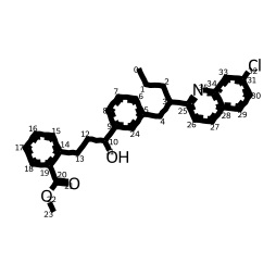 CCCC(Cc1cccc(C(O)CCc2ccccc2C(=O)OC)c1)c1ccc2ccc(Cl)cc2n1